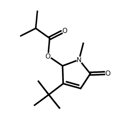 CC(C)C(=O)OC1C(C(C)(C)C)=CC(=O)N1C